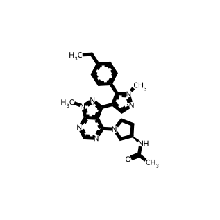 CCc1ccc(-c2c(-c3nn(C)c4ncnc(N5CC[C@@H](NC(C)=O)C5)c34)cnn2C)cc1